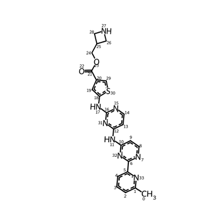 Cc1cccc(-c2nccc(Nc3ccnc(Nc4cc(C(=O)OCC5CNC5)cs4)n3)n2)n1